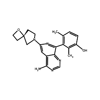 Cc1ccc(O)c(C)c1-c1nc(N2CC[C@]3(CCO3)C2)cc2c(N)ncnc12